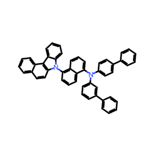 c1ccc(-c2ccc(N(c3cccc(-c4ccccc4)c3)c3cccc4c(-n5c6ccccc6c6c7ccccc7ccc65)cccc34)cc2)cc1